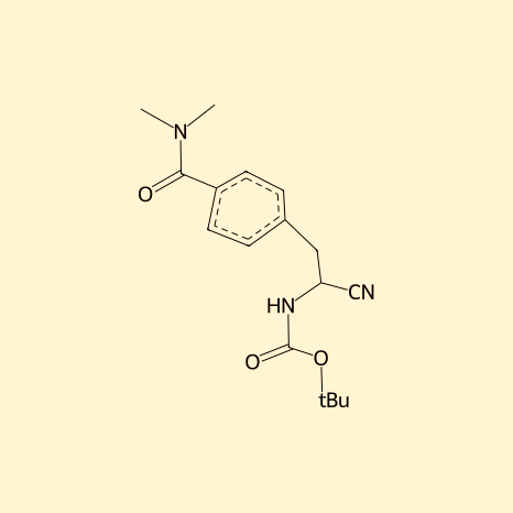 CN(C)C(=O)c1ccc(CC(C#N)NC(=O)OC(C)(C)C)cc1